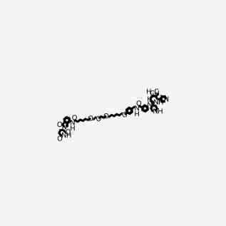 CCC1C(c2ccncc2)NC(C2(Nc3cccc(C(=O)NCc4ccc(OCCCCCCOCCOCCOCCCCCC(=O)Nc5cccc6c5CN(C5CCC(=O)NC5=O)C6=O)cc4)c3)CCNCC2)=CC[C@H]1C